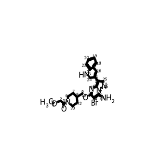 COCC(=O)N1CCC(COc2nc3c(C4=Cc5ccccc5NC4)cnn3c(N)c2Br)CC1